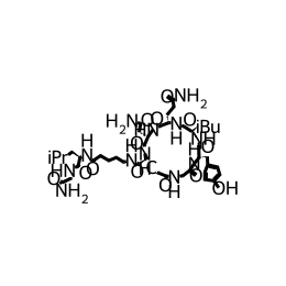 CC[C@H](C)[C@@H]1NC(=O)[C@H](Cc2ccc(O)cc2)NC(=O)CNC(=O)CC[C@@H](C(=O)NCCCCC(=O)N[C@H](CC(C)C)C(=O)NCC(N)=O)NC(=O)[C@H](CC(N)=O)NC(=O)[C@H](CCC(N)=O)NC1=O